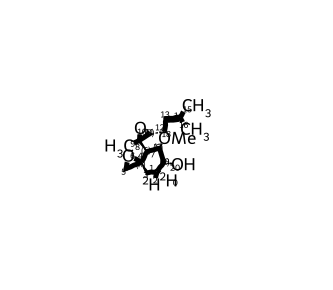 [2H]C1([2H])C[C@]2(CO2)[C@@H](C2(C)O[C@@H]2CC=C(C)C)[C@H](OC)[C@@H]1O